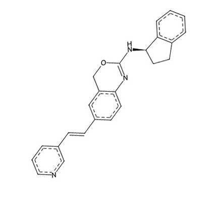 C(=Cc1ccc2c(c1)COC(N[C@@H]1CCc3ccccc31)=N2)c1cccnc1